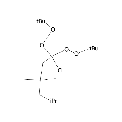 CC(C)CC(C)(C)CC(Cl)(OOC(C)(C)C)OOC(C)(C)C